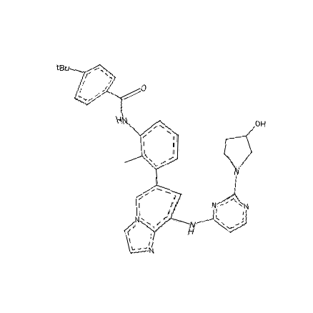 Cc1c(NC(=O)c2ccc(C(C)(C)C)cc2)cccc1-c1cc(Nc2ccnc(N3CCC(O)C3)n2)c2nccn2c1